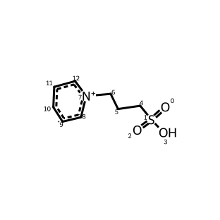 O=S(=O)(O)CCC[n+]1c[c]ccc1